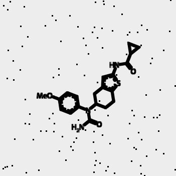 COc1ccc(N(C(N)=O)C2CCc3sc(NC(=O)C4CC4)cc3C2)cc1